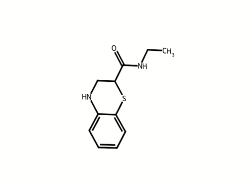 CCNC(=O)C1CNc2ccccc2S1